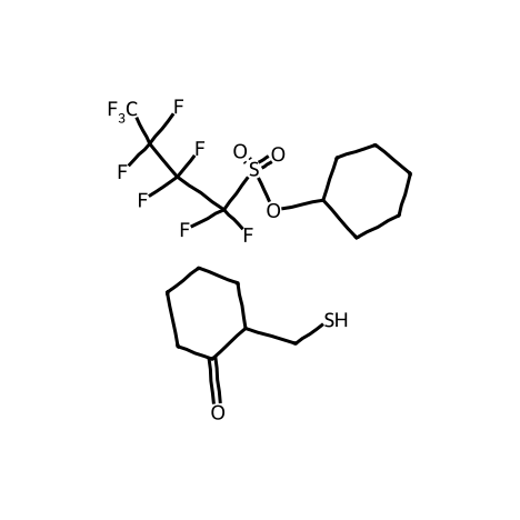 O=C1CCCCC1CS.O=S(=O)(OC1CCCCC1)C(F)(F)C(F)(F)C(F)(F)C(F)(F)F